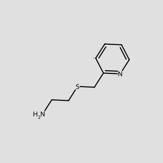 NCCSCc1[c]cccn1